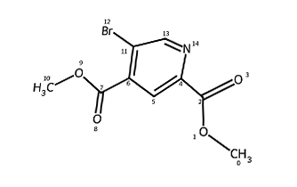 COC(=O)c1cc(C(=O)OC)c(Br)cn1